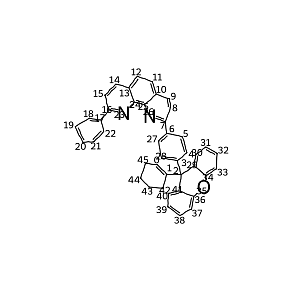 C1=C(C2(c3ccc(-c4ccc5ccc6ccc(-c7ccccc7)nc6c5n4)cc3)c3ccccc3Oc3ccccc32)CCCC1